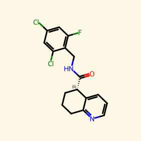 O=C(NCc1c(F)cc(Cl)cc1Cl)[C@H]1CCCc2ncccc21